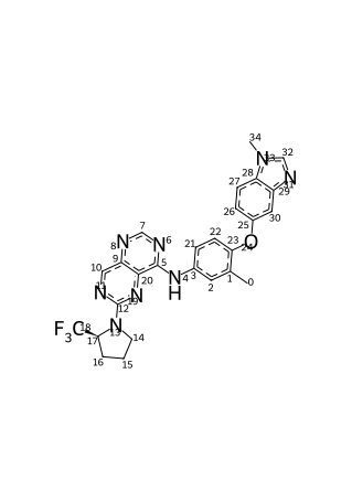 Cc1cc(Nc2ncnc3cnc(N4CCC[C@H]4C(F)(F)F)nc23)ccc1Oc1ccc2c(c1)ncn2C